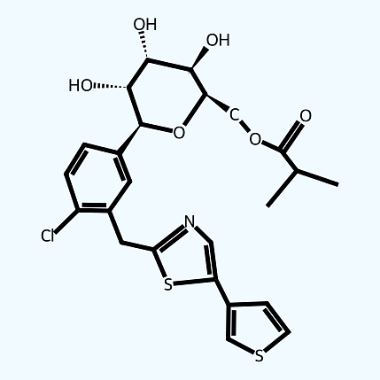 CC(C)C(=O)OC[C@H]1O[C@@H](c2ccc(Cl)c(Cc3ncc(-c4ccsc4)s3)c2)[C@H](O)[C@H](O)[C@H]1O